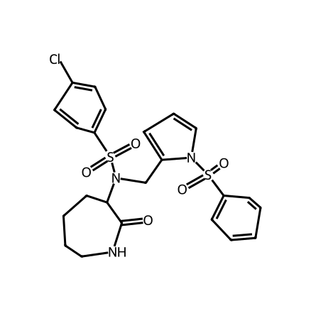 O=C1NCCCCC1N(Cc1cccn1S(=O)(=O)c1ccccc1)S(=O)(=O)c1ccc(Cl)cc1